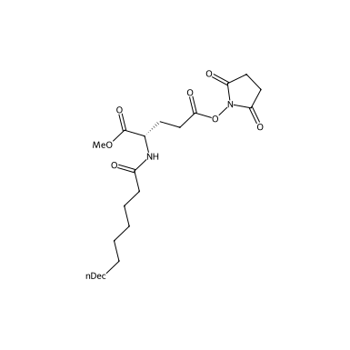 CCCCCCCCCCCCCCCC(=O)N[C@@H](CCC(=O)ON1C(=O)CCC1=O)C(=O)OC